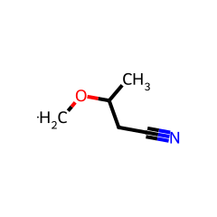 [CH2]OC(C)CC#N